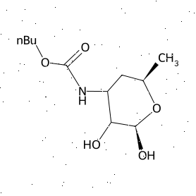 CCCCOC(=O)NC1C[C@@H](C)O[C@@H](O)C1O